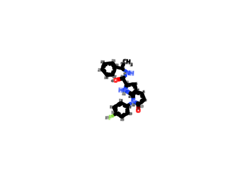 CC(NC(=O)c1cc2ccc(=O)n(-c3ccc(F)cc3)c2[nH]1)c1ccccc1